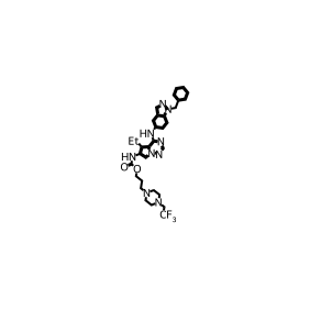 CCc1c(NC(=O)OCCCN2CCN(CC(F)(F)F)CC2)cn2ncnc(Nc3ccc4c(cnn4Cc4ccccc4)c3)c12